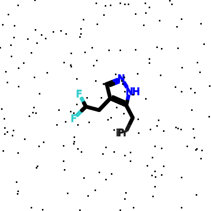 CC(C)Cc1[nH]n[c]c1CC(F)F